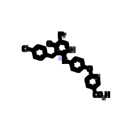 CC(C)c1c[nH]/c(=N\c2ccc(Oc3ccc(C(=O)O)cn3)cc2)n(Cc2ccc(Cl)cc2)c1=O